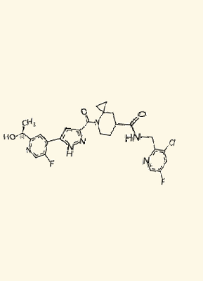 C[C@H](O)c1cc(-c2cc(C(=O)N3CCC(C(=O)NCc4ncc(F)cc4Cl)CC34CC4)n[nH]2)c(F)cn1